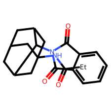 CCC(=O)NC12CC3CC(C1)C(N1C(=O)c4ccccc4C1=O)C(C3)C2